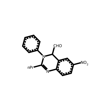 CCCC1=Nc2ccc([N+](=O)[O-])cc2C(C=O)N1c1ccccc1